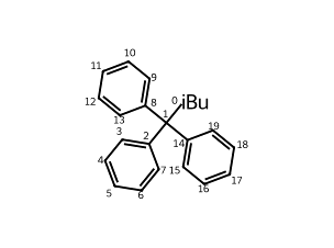 CCC(C)C(c1ccccc1)(c1ccccc1)c1ccccc1